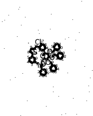 N#Cc1cccc(-c2ccc(Cc3cc([C@@H]4O[C@H](COCc5ccccc5)[C@@H](OCc5ccccc5)[C@H](OCc5ccccc5)[C@H]4OCc4ccccc4)ccc3Cl)s2)c1